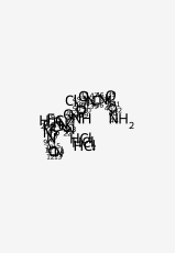 Cl.Cl.Cl.Cn1c(-c2cn(Cc3cccnc3)nc2C(F)(F)F)cnc1C(=O)Nc1ccc(C(=O)N2CCN(C(=O)[C@H]3CC[C@@H](N)C3)CC2)c(Cl)c1